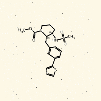 COC(=O)N1CCC[C@@H](NS(C)(=O)=O)[C@H]1Cc1cccc(-c2cccs2)c1